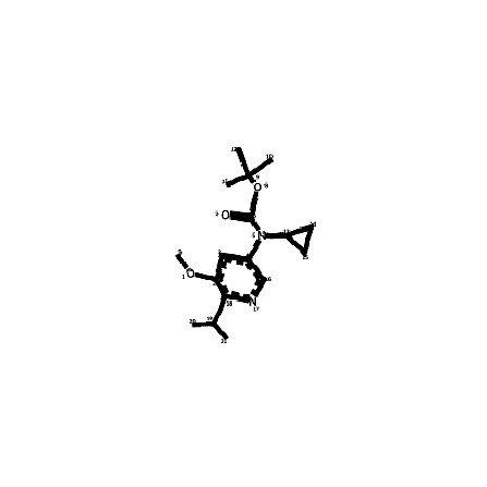 COc1cc(N(C(=O)OC(C)(C)C)C2CC2)cnc1C(C)C